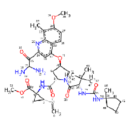 C=C[C@@H]1C[C@]1(NC(=O)[C@@H]1C[C@@H](Oc2cc(C(=O)C(N)N)nc3c(C)c(OC)ccc23)CN1C(=O)[C@@H](NC(=O)NC1(C)CCCC1)C(C)(C)C)C(=O)OC